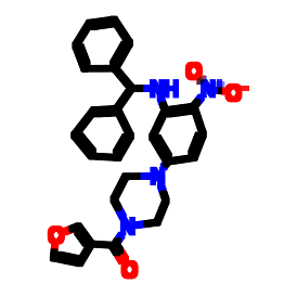 O=C(c1ccoc1)N1CCN(c2ccc([N+](=O)[O-])c(NC(c3ccccc3)c3ccccc3)c2)CC1